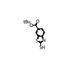 CC(C)(C)OC(=O)c1ccc2nc(S)sc2c1